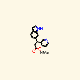 CNOC(=O)CC(c1cccnc1)c1ccc2cc[nH]c2c1